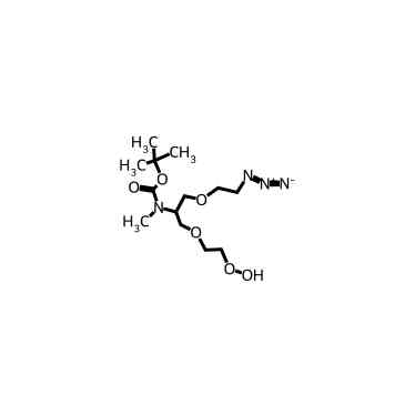 CN(C(=O)OC(C)(C)C)C(COCCN=[N+]=[N-])COCCOO